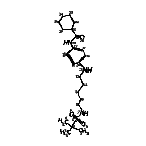 CC(C)(C)S(=O)(=O)NCCCCCNc1ccc(NC(=O)C2CCCCC2)cc1